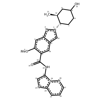 COc1cc2nn([C@H]3CCC(O)C[C@@H]3C)cc2cc1C(=O)Nc1cnc2cccnn12